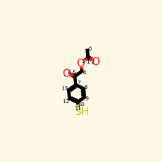 CC(=O)OCC(=O)c1ccc(S)cc1